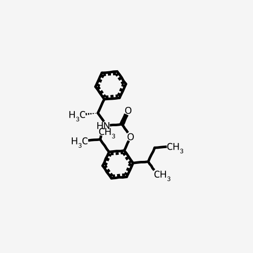 CCC(C)c1cccc(C(C)C)c1OC(=O)N[C@H](C)c1ccccc1